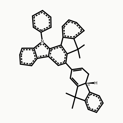 CC1(C)C2=CC(c3cc4c5ccccc5n(-c5ccccc5)c4c4c3C(C)(C)c3ccccc3-4)=CC[C@@H]2c2ccccc21